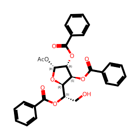 CC(=O)O[C@H]1O[C@H]([C@H](CO)OC(=O)c2ccccc2)[C@H](OC(=O)c2ccccc2)[C@H]1OC(=O)c1ccccc1